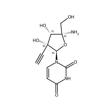 C#C[C@]1(O)[C@H](n2ccc(=O)[nH]c2=O)O[C@](N)(CO)[C@H]1O